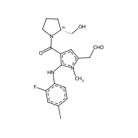 Cn1c(CC=O)cc(C(=O)N2CCC[C@@H]2CO)c1Nc1ccc(I)cc1F